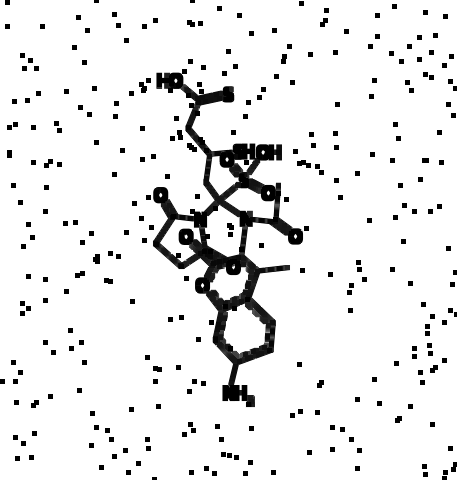 CC(=O)N(c1c(C)c2ccc(N)cc2oc1=O)C(CC(S)CC(O)=S)(N1C(=O)CCC1=O)S(=O)(=O)O